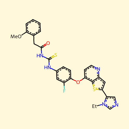 CCn1cncc1-c1cc2nccc(Oc3ccc(NC(=S)NC(=O)Cc4ccccc4OC)cc3F)c2s1